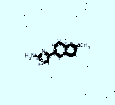 Cc1ccc2cc(-c3csc(N)n3)ccc2c1